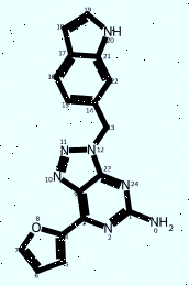 Nc1nc(-c2ccco2)c2nnn(Cc3ccc4cc[nH]c4c3)c2n1